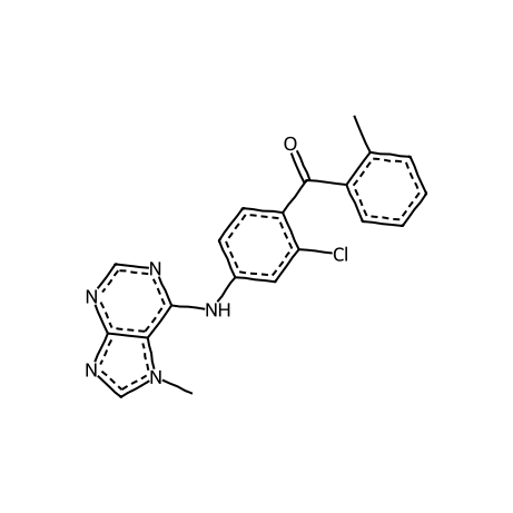 Cc1ccccc1C(=O)c1ccc(Nc2ncnc3ncn(C)c23)cc1Cl